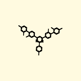 Cc1ccc(-c2nc(-c3ccc(-c4ccc(C)cc4C)c(C)c3)cc(-c3ccc(-c4ccc(C)cc4C)c(C)c3)n2)cc1